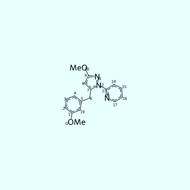 COc1cccc(Cc2cc(OC)nn2-c2ccccn2)c1